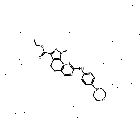 CCOC(=O)c1nn(C)c2c1CCc1cnc(Nc3ccc(N4CCOCC4)cc3)nc1-2